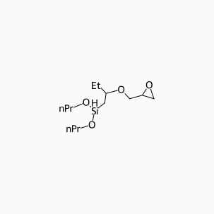 CCCO[SiH](CC(CC)OCC1CO1)OCCC